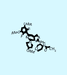 C=CC(=O)N[C@H]1CCOC[C@H]1Nc1ncc2cc(-c3c(F)c(OC)cc(OC)c3F)nc(N3CCC(OC)CC3)c2n1